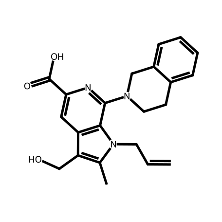 C=CCn1c(C)c(CO)c2cc(C(=O)O)nc(N3CCc4ccccc4C3)c21